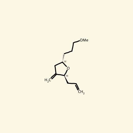 C=CC[C@@H]1O[C@@H](CCCOC)CC1=C